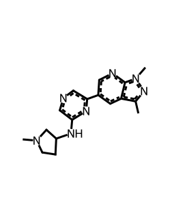 Cc1nn(C)c2ncc(-c3cncc(NC4CCN(C)C4)n3)cc12